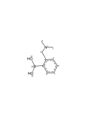 CN(C)Cc1ccccc1B(O)O